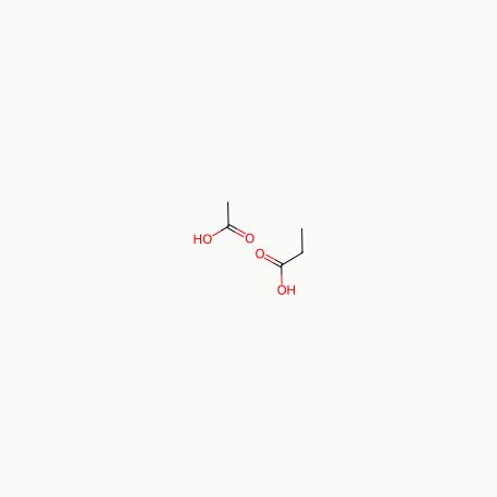 CC(=O)O.CCC(=O)O